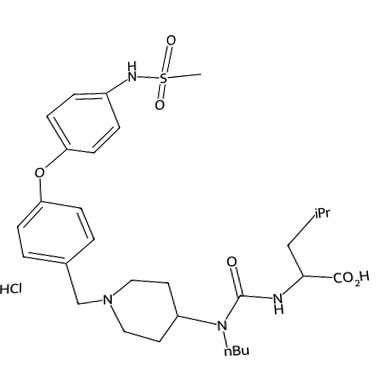 CCCCN(C(=O)NC(CC(C)C)C(=O)O)C1CCN(Cc2ccc(Oc3ccc(NS(C)(=O)=O)cc3)cc2)CC1.Cl